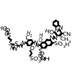 Cc1cc(N=Nc2c(SOOO)cc3cc(S(=O)(=O)O)c(N=Nc4c(C)c(C#N)c5nc6ccccc6n5c4O)cc3c2O)c(OCCCS(=O)(=O)O)cc1N=Nc1nnc(SCCSOOO)s1